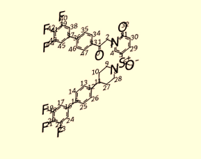 O=C(Cn1cc([S+]([O-])N2CCC(c3ccc(-c4cc(F)c(F)c(F)c4)cc3)CC2)ccc1=O)c1ccc(-c2cc(F)c(F)c(F)c2)cc1